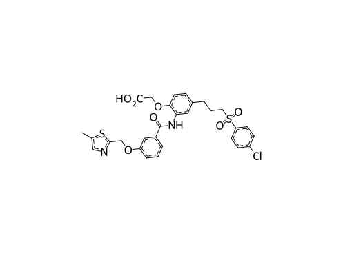 Cc1cnc(COc2cccc(C(=O)Nc3cc(CCCS(=O)(=O)c4ccc(Cl)cc4)ccc3OCC(=O)O)c2)s1